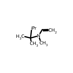 C=CN(C)C(C)(C)C(C)C